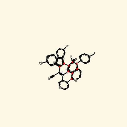 N#C/C(=C(/C(=C(/C#N)c1c[nH]c2ccc(Br)cc12)c1cnccc1Sc1ccc(F)cc1)c1cnccc1Sc1ccc(F)cc1)c1c[nH]c2ccc(Cl)cc12